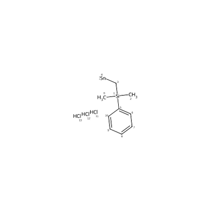 C[Si](C)([CH2][Sn])c1ccccc1.Cl.Cl.Cl